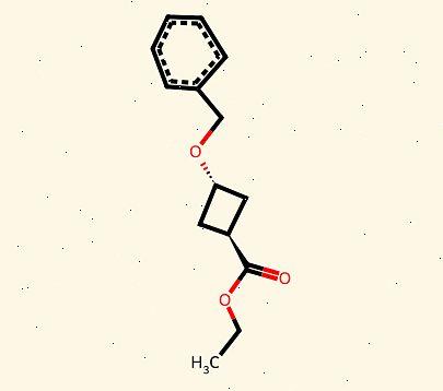 CCOC(=O)[C@H]1C[C@H](OCc2ccccc2)C1